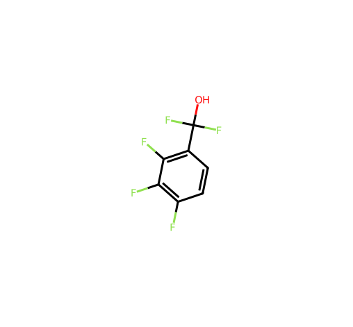 OC(F)(F)c1ccc(F)c(F)c1F